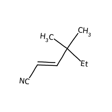 CCC(C)(C)C=CC#N